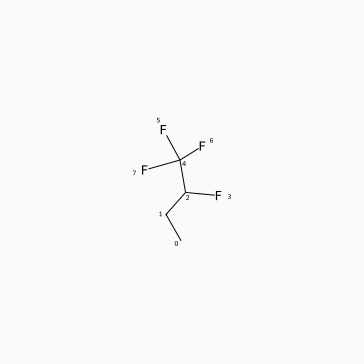 CCC(F)C(F)(F)F